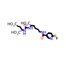 O=C(O)CC[C@H](NC(=O)N[C@@H](CCCCNC(=O)c1ccc(SF)nc1)C(=O)O)C(=O)O